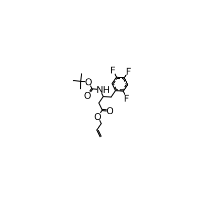 C=CCOC(=O)CC(Cc1cc(F)c(F)cc1F)NC(=O)OC(C)(C)C